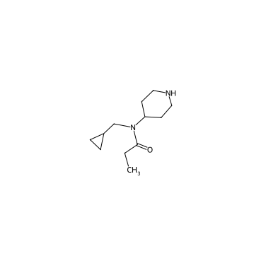 CCC(=O)N(CC1CC1)C1CCNCC1